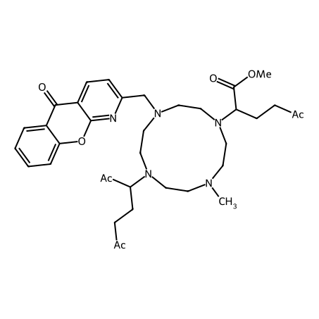 COC(=O)C(CCC(C)=O)N1CCN(C)CCN(C(CCC(C)=O)C(C)=O)CCN(Cc2ccc3c(=O)c4ccccc4oc3n2)CC1